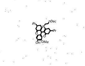 CCCCCCCCCCCCN1C2=C(C(=O)CC(C(C)C)C2)C(c2ccc(O)c(OC)c2)C2=C1CC(C(C)C)CC2=O